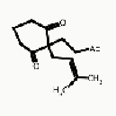 CC(=O)CCC1(CC=C(C)C)C(=O)CCCC1=O